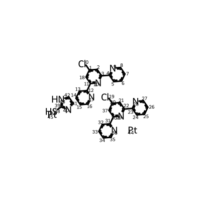 Clc1cc(-c2ccccn2)nc(-c2ccccn2)c1.Clc1cc(-c2ccccn2)nc(-c2ccccn2)c1.Sc1ncc[nH]1.[Pt].[Pt]